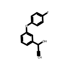 C#CC(O)c1cccc(Oc2ccc(F)cc2)c1